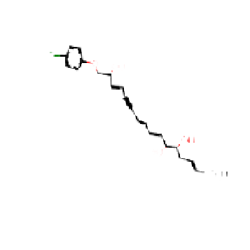 O=C(O)C=CC[C@H](O)[C@H](O)C=CC=CC#CC=C[C@H](O)COc1ccc(F)cc1